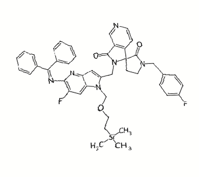 C[Si](C)(C)CCOCn1c(CN2C(=O)c3cnccc3C23CCN(Cc2ccc(F)cc2)C3=O)cc2nc(N=C(c3ccccc3)c3ccccc3)c(F)cc21